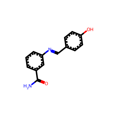 NC(=O)c1cccc(N=Cc2ccc(O)cc2)c1